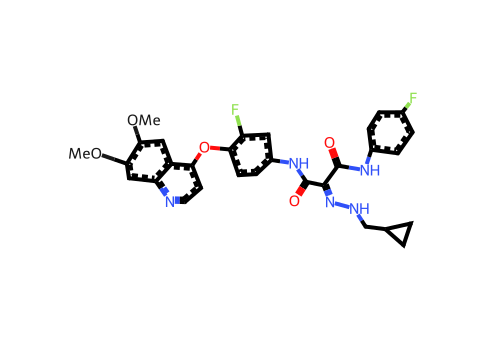 COc1cc2nccc(Oc3ccc(NC(=O)/C(=N/NCC4CC4)C(=O)Nc4ccc(F)cc4)cc3F)c2cc1OC